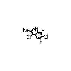 N#Cc1cnc2c(F)c(Cl)c(F)cc2c1Cl